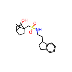 CC1(C)C2CCC1(CS(=O)(=O)NCCC1CCc3ccccc31)C(O)C2